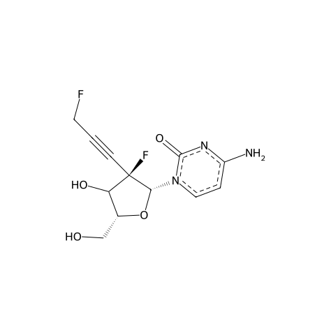 Nc1ccn([C@@H]2O[C@H](CO)C(O)[C@]2(F)C#CCF)c(=O)n1